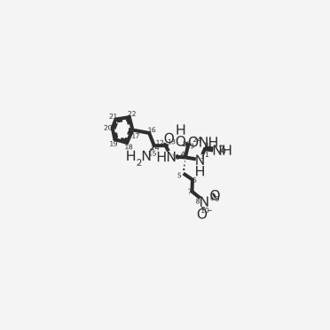 N=C(N)N[C@@](CCC[N+](=O)[O-])(NC(=O)[C@H](N)Cc1ccccc1)C(=O)O